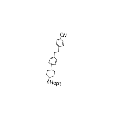 CCCCCCC[C@H]1CC[C@H](c2ccc(CCc3ccc(C#N)cc3)cc2)CC1